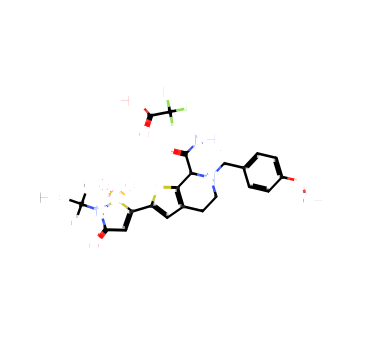 COc1ccc(CN2CCc3cc(C4=CC(=O)N(C(C)(C)C)S4(=O)=O)sc3C2C(N)=O)cc1.O=C(O)C(F)(F)F